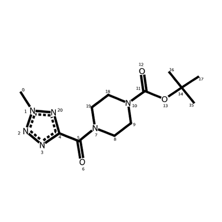 Cn1nnc(C(=O)N2CCN(C(=O)OC(C)(C)C)CC2)n1